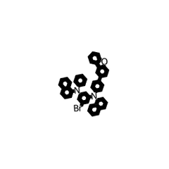 Brc1cc(N(c2ccccc2)c2cccc3ccccc23)cc(N(c2ccc(-c3ccc4oc5ccccc5c4c3)cc2)c2cccc3ccccc23)c1